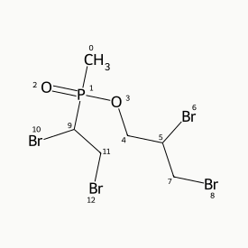 CP(=O)(OCC(Br)CBr)C(Br)CBr